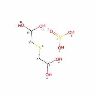 O=S(O)O.OC(O)CSCC(O)O